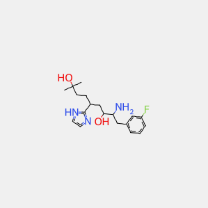 CC(C)(O)CCC(CC(O)C(N)Cc1cccc(F)c1)c1ncc[nH]1